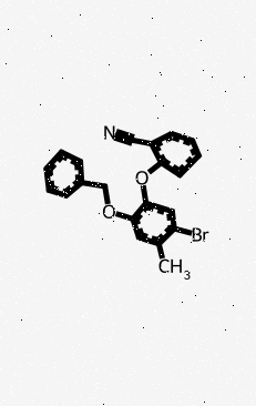 Cc1cc(OCc2ccccc2)c(Oc2ccccc2C#N)cc1Br